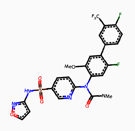 CNC(=O)N(c1ccc(S(=O)(=O)Nc2ccon2)cn1)c1cc(F)c(-c2ccc(F)c(C(F)(F)F)c2)cc1OC